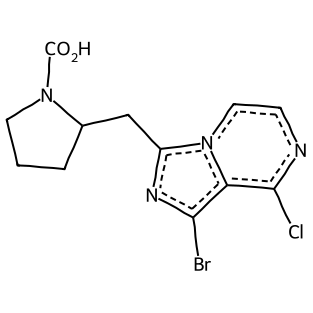 O=C(O)N1CCCC1Cc1nc(Br)c2c(Cl)nccn12